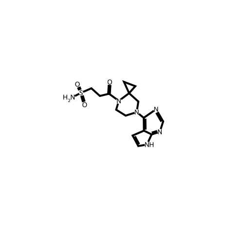 NS(=O)(=O)CCC(=O)N1CCN(c2ncnc3[nH]ccc23)CC12CC2